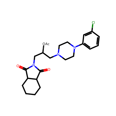 CC(=O)OC(CN1CCN(c2cccc(Cl)c2)CC1)CN1C(=O)C2CCCCC2C1=O